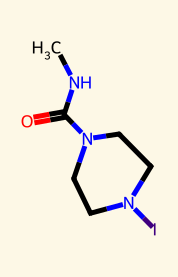 CNC(=O)N1CCN(I)CC1